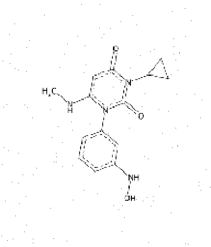 CNc1cc(=O)n(C2CC2)c(=O)n1-c1cccc(NO)c1